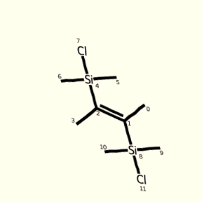 CC(=C(C)[Si](C)(C)Cl)[Si](C)(C)Cl